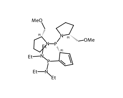 CCN(CC)P(C1=CC=C[C@H]1P(N1CCC[C@@H]1COC)N1CCC[C@@H]1COC)N(CC)CC